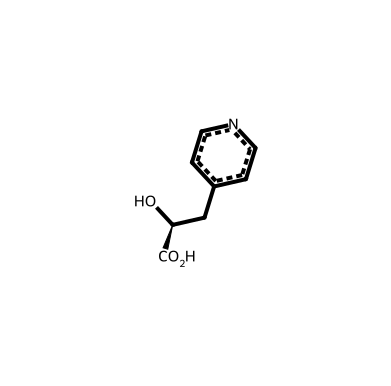 O=C(O)[C@@H](O)Cc1ccncc1